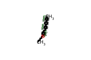 CCCCCCOc1ccc(CCc2ccc(C3=CCC(c4ccc(C)c(F)c4F)CC3)c(F)c2F)c(F)c1F